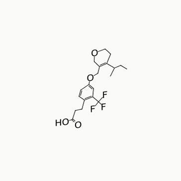 CCC(C)C1=C(COc2ccc(CCC(=O)O)c(C(F)(F)F)c2)COCC1